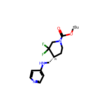 CC(C)(C)OC(=O)N1CC[C@H](CNc2ccncc2)C(F)(F)C1